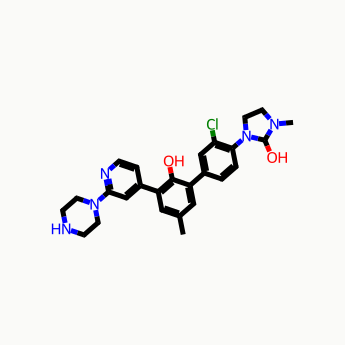 Cc1cc(-c2ccnc(N3CCNCC3)c2)c(O)c(-c2ccc(N3CCN(C)C3O)c(Cl)c2)c1